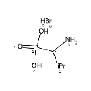 Br.CC(C)C(N)P(=O)(O)O